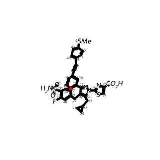 CSc1ccc(C#Cc2cccc(-c3nn(-c4nc(C(=O)O)cs4)c(CC4CC4)c3Cc3ccc(S(N)(=O)=O)c(F)c3)c2)cc1